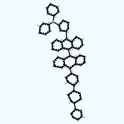 c1ccc(-c2ccc(-c3ccc(-c4c5ccccc5c(-c5c6ccccc6c(-c6cccc(N(c7ccccc7)c7ccccc7)c6)c6ccccc56)c5ccccc45)cc3)cc2)cc1